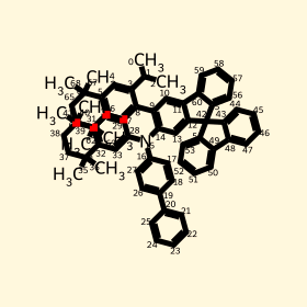 CC(C)c1cc2c(cc1-c1cc3c(cc1N(c1ccc(-c4ccccc4)cc1)c1ccc4c(c1)C(C)(C)CCC4(C)C)C1(c4ccccc4-c4ccccc41)c1ccccc1-3)C(C)(C)CCC2(C)C